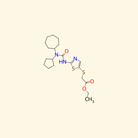 CCOC(=O)CSc1cnc(NC(=O)N(C2CCCCCC2)C2CCCC2)s1